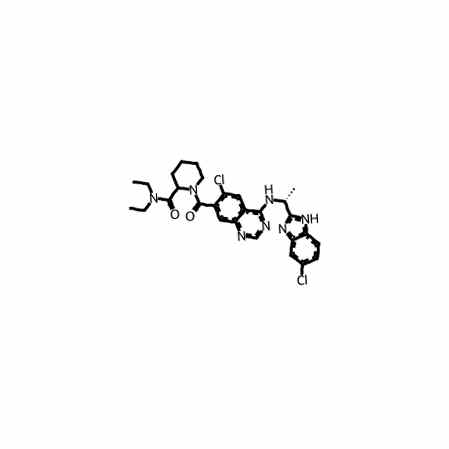 CCN(CC)C(=O)C1CCCCN1C(=O)c1cc2ncnc(N[C@H](C)c3nc4cc(Cl)ccc4[nH]3)c2cc1Cl